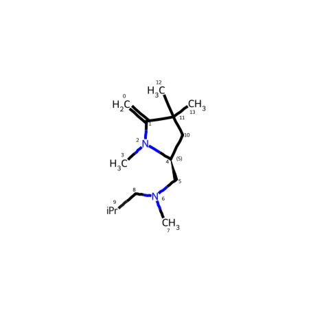 C=C1N(C)[C@H](CN(C)CC(C)C)CC1(C)C